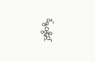 CCOC(=O)c1ccc2c(c1)C(=O)c1nc3c(I)cc(I)cc3c(=O)n1-2